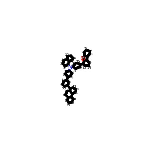 c1cc(-c2ccc(N(c3ccc(-c4cccc5c4oc4ccccc45)cc3)c3cccc4ccccc34)cc2)cc(-c2cccc3c2ccc2ccccc23)c1